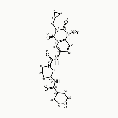 CC(C)n1c(=O)n(CC2CC2)c(=O)c2cc(NC(=O)N3CCCC(NC(=O)C4CCOCC4)C3)ccc21